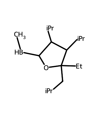 CBC1OC(CC)(CC(C)C)C(C(C)C)C1C(C)C